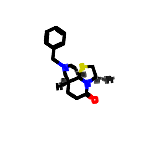 CC(C)[C@H]1CS[C@]23CCN(Cc4ccccc4)C[C@H]2CCC(=O)N13